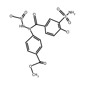 COC(=O)c1ccc(N(N[N+](=O)[O-])C(=O)c2ccc(Cl)c(S(N)(=O)=O)c2)cc1